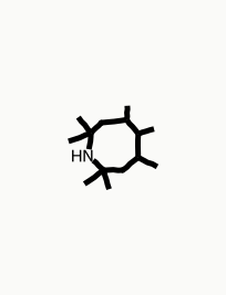 CC1CC(C)(C)NC(C)(C)CC(C)C1C